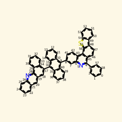 c1ccc(-c2nc3cc(-c4c5ccccc5c(-c5cc6cc7ccccc7nc6c6ccccc56)c5ccccc45)ccc3c3c2ccc2c4ccccc4sc23)cc1